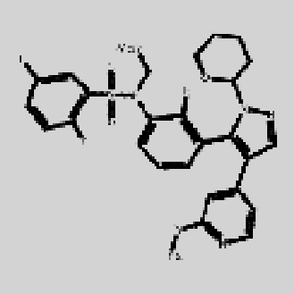 COCN(c1cccc(-c2c(-c3ccnc(NC(C)(C)C)c3)cnn2C2CCCCO2)c1F)S(=O)(=O)c1cc(F)ccc1F